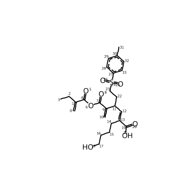 C=C(CC)C(=O)OC(=O)C(=C)C(C=C(CCCCO)C(=O)O)CCS(=O)(=O)c1ccc(C)cc1